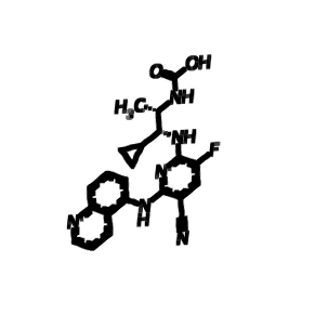 C[C@H](NC(=O)O)[C@H](Nc1nc(Nc2cccc3ncccc23)c(C#N)cc1F)C1CC1